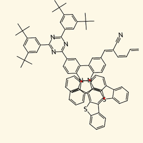 C=C/C=C\C(C#N)=C/c1ccc(-n2c3ccccc3c3c4sc5ccccc5c4ccc32)c(-c2cc(-c3nc(-c4cc(C(C)(C)C)cc(C(C)(C)C)c4)nc(-c4cc(C(C)(C)C)cc(C(C)(C)C)c4)n3)ccc2-n2c3ccccc3c3c4sc5ccccc5c4ccc32)c1